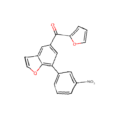 O=C(c1cc(-c2cccc([N+](=O)[O-])c2)c2occc2c1)c1ccco1